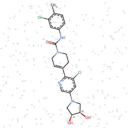 Cc1ccc(NC(=O)N2CC=C(c3ncc(N4C[C@@H](O)[C@@H](O)C4)cc3Cl)CC2)cc1Cl